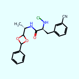 C[C@H](NC(=O)[C@H](Cc1cccc(C#N)c1)NCl)C1OC(c2ccccc2)O1